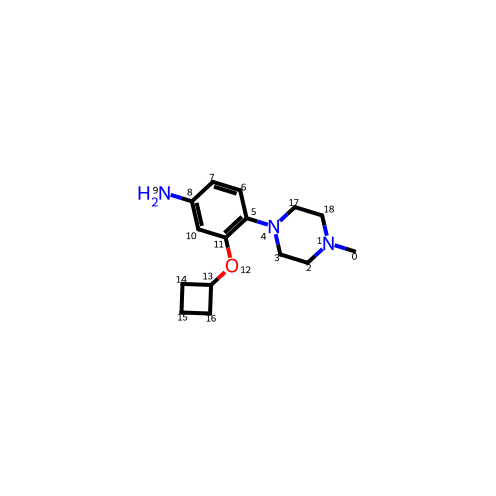 CN1CCN(c2ccc(N)cc2OC2CCC2)CC1